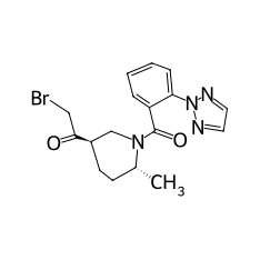 C[C@@H]1CC[C@@H](C(=O)CBr)CN1C(=O)c1ccccc1-n1nccn1